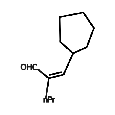 CCCC(C=O)=CC1CCCCC1